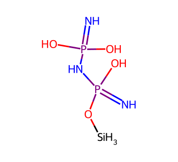 N=P(O)(O)NP(=N)(O)O[SiH3]